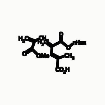 C=C(C)C(=O)OC.C=C(C=C(C)C(=O)O)C(=O)OCCCCCC